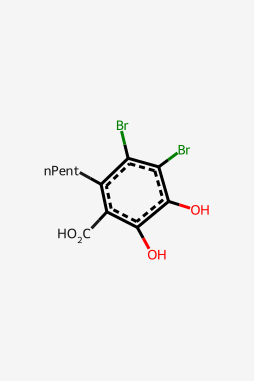 CCCCCc1c(Br)c(Br)c(O)c(O)c1C(=O)O